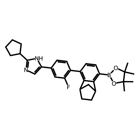 CC1(C)OB(c2ccc(-c3ccc(-c4cnc(C5CCCC5)[nH]4)cc3F)c3c2C2CCC3C2)OC1(C)C